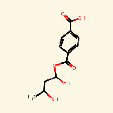 CC(O)CC(O)OC(=O)c1ccc(C(=O)O)cc1